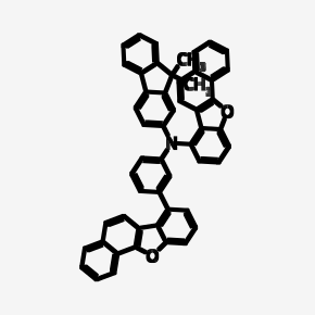 CC1(C)c2ccccc2-c2ccc(N(c3cccc(-c4cccc5oc6c7ccccc7ccc6c45)c3)c3cccc4oc5c6ccccc6ccc5c34)cc21